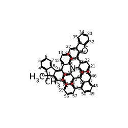 CC1(C)c2ccccc2-c2c(-c3ccccc3N(c3ccccc3-c3cccc4c3oc3ccccc34)c3ccccc3-c3cccc4cccc(-c5ccccc5)c34)cccc21